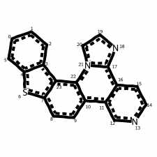 c1ccc2c(c1)sc1ccc3c4cnccc4c4nccn4c3c12